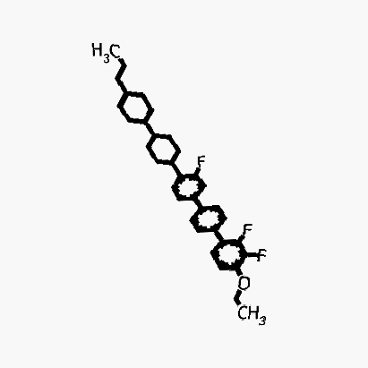 CCCC1CCC(C2CCC(c3ccc(-c4ccc(-c5ccc(OCC)c(F)c5F)cc4)cc3F)CC2)CC1